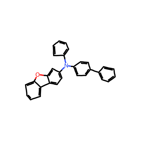 c1ccc(-c2ccc(N(c3ccccc3)c3ccc4c(c3)oc3ccccc34)cc2)cc1